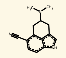 CN(C)C1Cc2c[nH]c3ccc(C#N)c(c23)C1